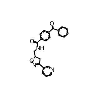 O=C(NCC1CC(c2cccnc2)=NO1)c1ccc(C(=O)c2ccccc2)cc1